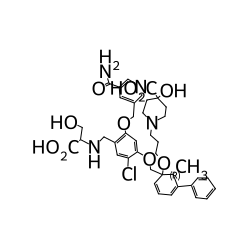 C[C@@H]1C(c2ccccc2)=CC=CC1(COc1cc(OCc2cncc(C(N)=O)c2)c(CNC(CO)C(=O)O)cc1Cl)OCCCN1CCC(O)(C(=O)O)CC1